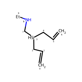 C=CC[SiH](CC=C)CNCC